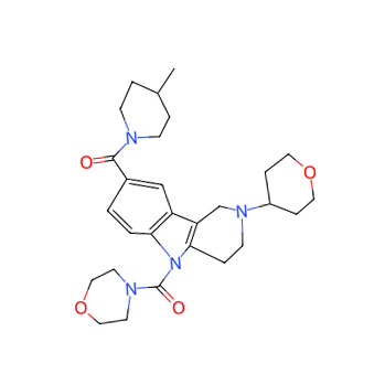 CC1CCN(C(=O)c2ccc3c(c2)c2c(n3C(=O)N3CCOCC3)CCN(C3CCOCC3)C2)CC1